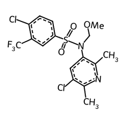 COCN(c1cc(Cl)c(C)nc1C)S(=O)(=O)c1ccc(Cl)c(C(F)(F)F)c1